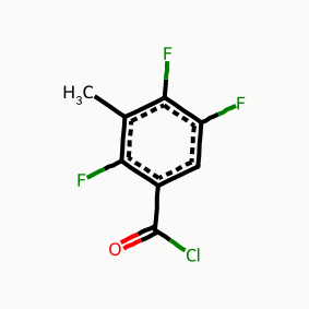 Cc1c(F)c(F)cc(C(=O)Cl)c1F